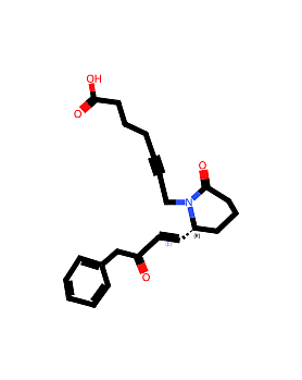 O=C(O)CCCC#CCN1C(=O)CCC[C@@H]1/C=C/C(=O)Cc1ccccc1